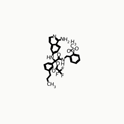 CCCc1cccc(C(Nc2ccc3c(N)nccc3c2)(OC(=O)C(F)(F)F)C(=O)NCc2ccccc2S(C)(=O)=O)c1